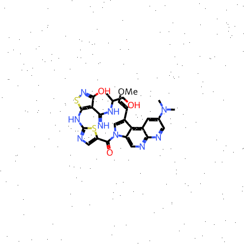 CO/C=C/c1cn(C(=O)c2cnc(Nc3snc(O)c3C(=N)NC(C)CO)s2)c2cnc3ncc(N(C)C)cc3c12